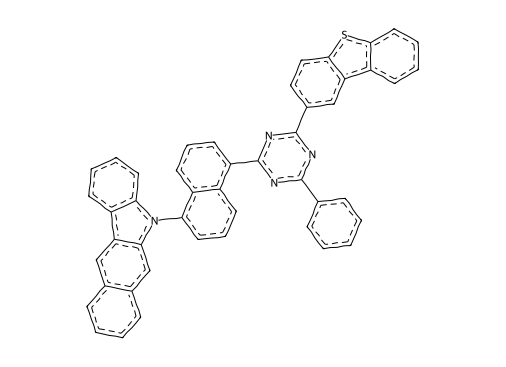 c1ccc(-c2nc(-c3ccc4sc5ccccc5c4c3)nc(-c3cccc4c(-n5c6ccccc6c6cc7ccccc7cc65)cccc34)n2)cc1